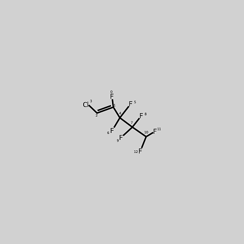 F/C(=C\Cl)C(F)(F)C(F)(F)C(F)F